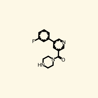 O=C(c1cncc(-c2cccc(F)c2)c1)N1CCNCC1